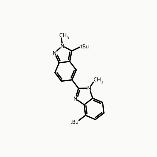 Cn1nc2ccc(-c3nc4c(C(C)(C)C)cccc4n3C)cc2c1C(C)(C)C